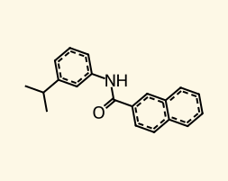 CC(C)c1cccc(NC(=O)c2ccc3ccccc3c2)c1